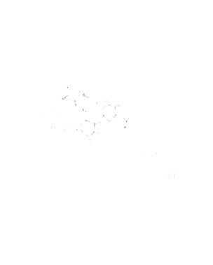 CCCCCCCCCOc1ccc(C2C=NC(C(=O)O)=CN2c2ccccc2OCC(C)CC)cc1